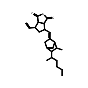 C=CC1CC(/C=C2\CC3CC2C(C)C3C(C)CCCC)C2C(=O)OC(=O)C12